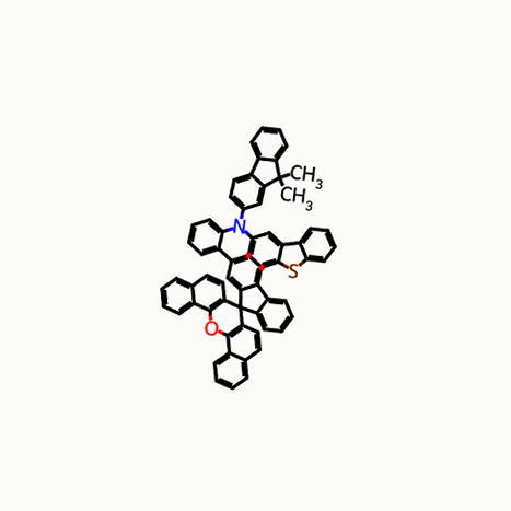 CC1(C)c2ccccc2-c2ccc(N(c3ccc4sc5ccccc5c4c3)c3ccccc3-c3ccc4c(c3)C3(c5ccccc5-4)c4ccc5ccccc5c4Oc4c3ccc3ccccc43)cc21